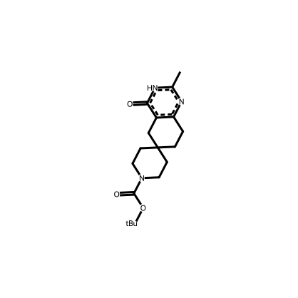 Cc1nc2c(c(=O)[nH]1)CC1(CC2)CCN(C(=O)OC(C)(C)C)CC1